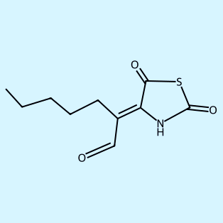 CCCCCC(C=O)=C1NC(=O)SC1=O